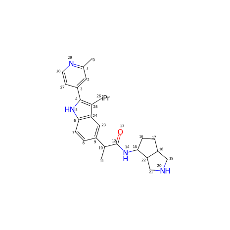 Cc1cc(-c2[nH]c3ccc(C(C)C(=O)NC4CCC5CNCC54)cc3c2C(C)C)ccn1